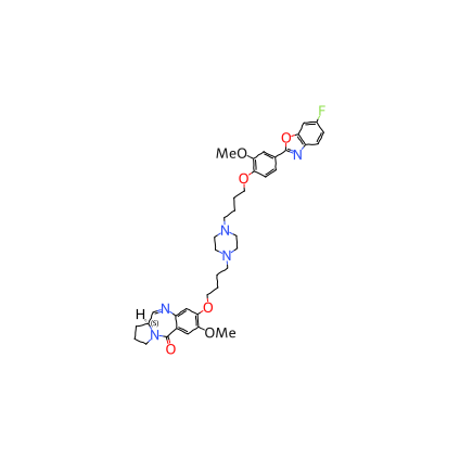 COc1cc(-c2nc3ccc(F)cc3o2)ccc1OCCCCN1CCN(CCCCOc2cc3c(cc2OC)C(=O)N2CCC[C@H]2C=N3)CC1